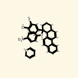 C1=CCOC=C1.O=[N+]([O-])c1ccc(OC2(c3ccc(Cl)c(F)c3)CCCC3C=Cc4c(ccc5ccccc45)C32)cc1